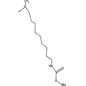 CN(F)CCCCCCCCCNC(=O)OC(C)(C)C